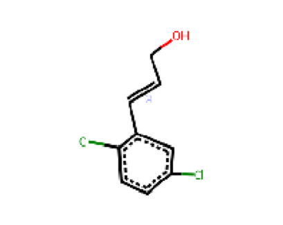 OC/C=C/c1cc(Cl)ccc1Cl